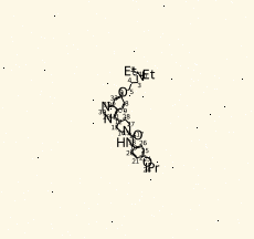 CCN(CC)CCCOc1ccc2c(C3CCN(C(=O)Nc4ccc(OC(C)C)cc4)CC3)ncnc2c1